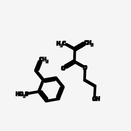 C=C(C)C(=O)OCCO.C=Cc1ccccc1S(=O)(=O)O